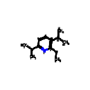 CCc1nc(C(C)C)ccc1C(C)C